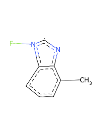 Cc1cccc2c1n[c]n2F